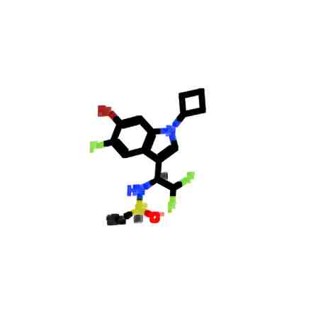 CC(C)(C)[S@+]([O-])N[C@@H](c1cn(C2CCC2)c2cc(Br)c(F)cc12)C(F)F